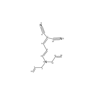 C=CCN(C=CC=C(C#N)C#N)CC=C